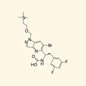 C[Si](C)(C)CCOCn1ncc2nc([C@@H](Cc3cc(F)cc(F)c3)NC(=O)O)c(Br)cc21